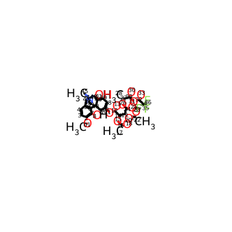 COc1ccc2c3c1O[C@H]1C(OC(=O)[C@H](OC(C)=O)[C@@H](OC(C)=O)C(=O)O[C@@H](C)C(=O)OC(=O)C(F)(F)F)=CC[C@@]4(O)C(C2)N(C)CC[C@]314